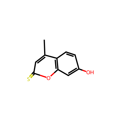 Cc1cc(=S)oc2cc(O)ccc12